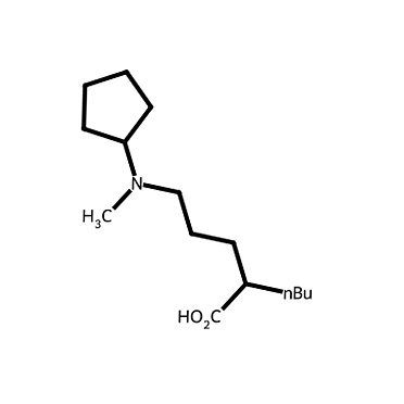 CCCCC(CCCN(C)C1CCCC1)C(=O)O